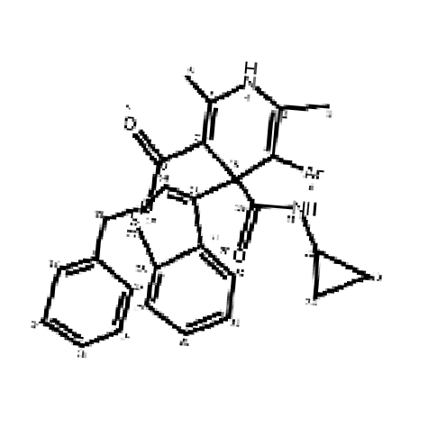 CC(=O)C1=C(C)NC(C)=C(C(=O)OCc2ccccc2)C1(C(=O)NC1CC1)c1csc2ccccc12